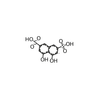 O=S(=O)(O)c1[c]c(O)c2c(O)cc(S(=O)(=O)O)cc2c1